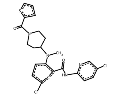 CN(c1ccc(Cl)cc1C(=O)Nc1ccc(Cl)cn1)C1CCN(C(=O)c2cccs2)CC1